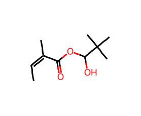 CC=C(C)C(=O)OC(O)C(C)(C)C